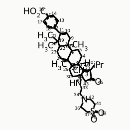 CC(C)C1=C2[C@H]3CCC4[C@@]5(C)CC=C(c6ccc(C(=O)O)cc6)C(C)(C)C5CC[C@@]4(C)[C@]3(C)CC[C@@]2(NCCN2CCS(=O)(=O)CC2)CC1=O